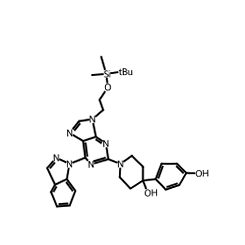 CC(C)(C)[Si](C)(C)OCCn1cnc2c(-n3ncc4ccccc43)nc(N3CCC(O)(c4ccc(O)cc4)CC3)nc21